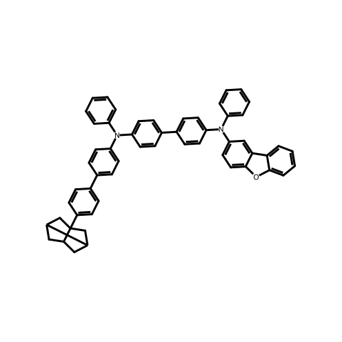 c1ccc(N(c2ccc(-c3ccc(N(c4ccccc4)c4ccc5oc6ccccc6c5c4)cc3)cc2)c2ccc(-c3ccc(C45CC6CC4CC6C5)cc3)cc2)cc1